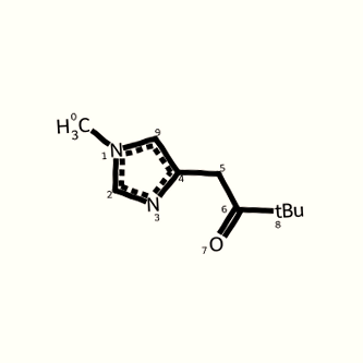 Cn1cnc(CC(=O)C(C)(C)C)c1